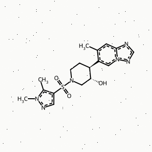 Cc1cc2ncnn2cc1[C@@H]1CCN(S(=O)(=O)c2cnn(C)c2C)C[C@H]1O